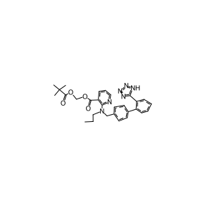 CCCN(Cc1ccc(-c2ccccc2-c2nnn[nH]2)cc1)c1ncccc1C(=O)OCOC(=O)C(C)(C)C